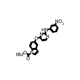 CC(C)(C)OC(=O)n1ccc2cc(Oc3ccnc(Nc4cccc([N+](=O)[O-])c4)n3)ccc21